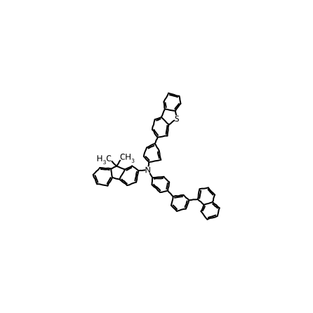 CC1(C)c2ccccc2-c2ccc(N(c3ccc(-c4cccc(-c5cccc6ccccc56)c4)cc3)c3ccc(-c4ccc5c(c4)sc4ccccc45)cc3)cc21